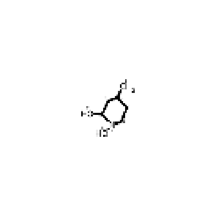 CC1CCN(O)C(O)C1